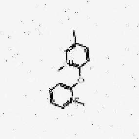 Cc1ccc(Oc2cccc[n+]2C)[n+](C)c1